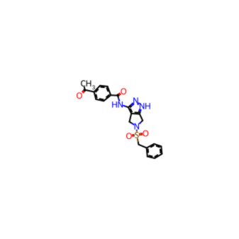 CC(=O)c1ccc(C(=O)Nc2n[nH]c3c2CN(S(=O)(=O)Cc2ccccc2)C3)cc1